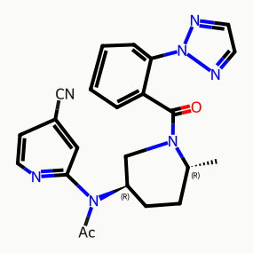 CC(=O)N(c1cc(C#N)ccn1)[C@@H]1CC[C@@H](C)N(C(=O)c2ccccc2-n2nccn2)C1